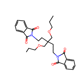 CCCOCC(CCN1C(=O)c2ccccc2C1=O)(CCN1C(=O)c2ccccc2C1=O)COCCC